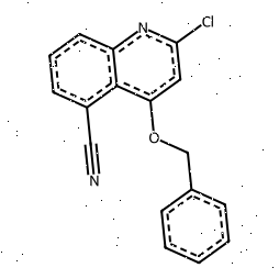 N#Cc1cccc2nc(Cl)cc(OCc3ccccc3)c12